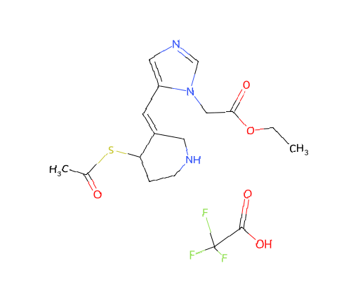 CCOC(=O)Cn1cncc1C=C1CNCCC1SC(C)=O.O=C(O)C(F)(F)F